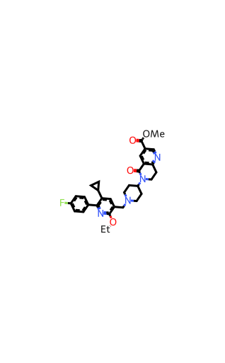 CCOc1nc(-c2ccc(F)cc2)c(C2CC2)cc1CN1CCC(N2CCc3ncc(C(=O)OC)cc3C2=O)CC1